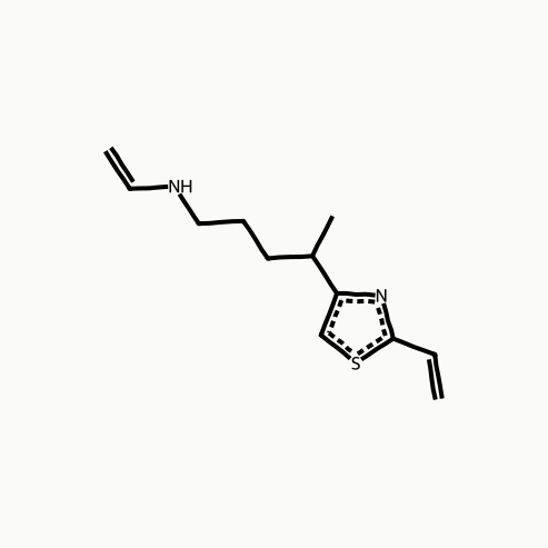 C=CNCCCC(C)c1csc(C=C)n1